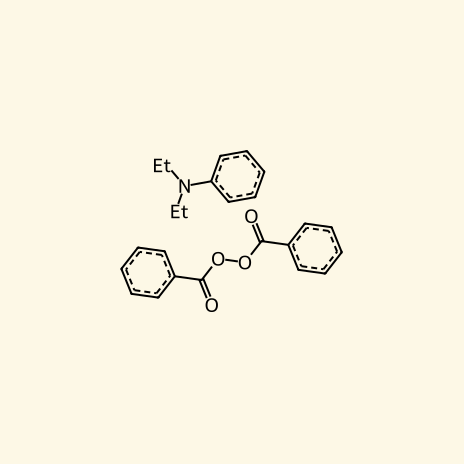 CCN(CC)c1ccccc1.O=C(OOC(=O)c1ccccc1)c1ccccc1